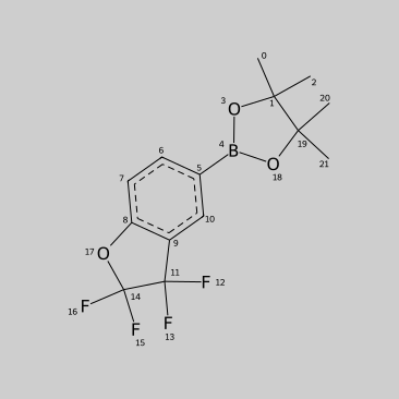 CC1(C)OB(c2ccc3c(c2)C(F)(F)C(F)(F)O3)OC1(C)C